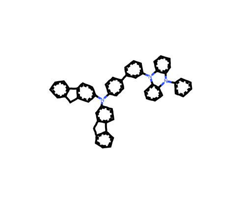 c1ccc(N2c3ccccc3N(c3cccc(-c4ccc(N(c5ccc6c(c5)Cc5ccccc5-6)c5ccc6c(c5)Cc5ccccc5-6)cc4)c3)c3ccccc32)cc1